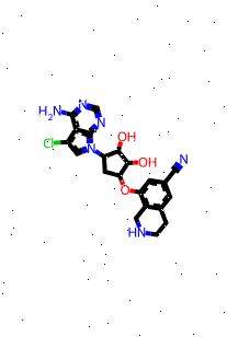 N#Cc1cc2c(c(OC3CC(n4cc(Cl)c5c(N)ncnc54)C(O)C3O)c1)CNCC2